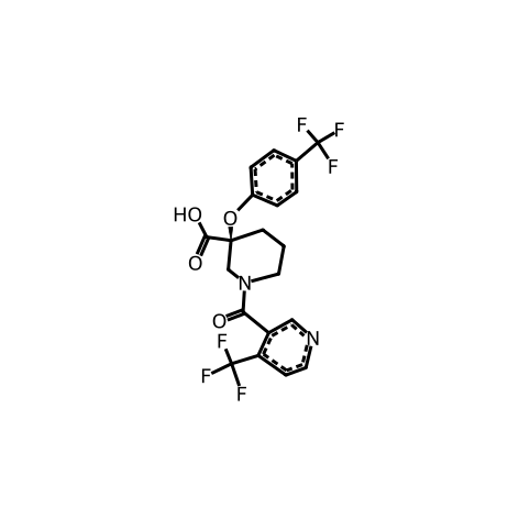 O=C(c1cnccc1C(F)(F)F)N1CCC[C@@](Oc2ccc(C(F)(F)F)cc2)(C(=O)O)C1